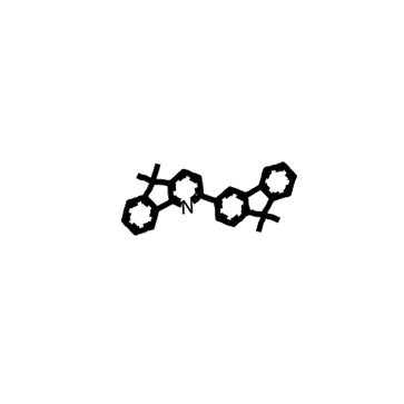 CC1(C)c2ccccc2-c2cc(-c3ccc4c(n3)-c3ccccc3C4(C)C)ccc21